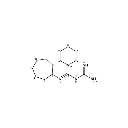 N=C(N)N/C(=N/C1CCCCCC1)N1CCCCC1